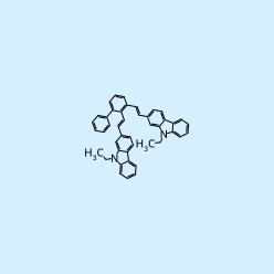 CCn1c2ccccc2c2ccc(C=Cc3cccc(-c4ccccc4)c3C=Cc3ccc4c5ccccc5n(CC)c4c3)cc21